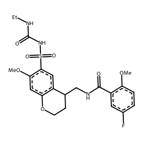 CCNC(=O)NS(=O)(=O)c1cc2c(cc1OC)OCCC2CNC(=O)c1cc(F)ccc1OC